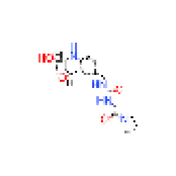 O=C(NCC(=O)N1CCCC1)NCc1ccc2c(c1)[C@H]1C[C@H](N2)[C@H](O)CO1